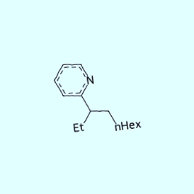 CCCCCCCC(CC)c1ccccn1